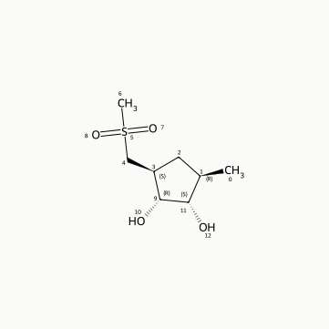 C[C@@H]1C[C@H](CS(C)(=O)=O)[C@@H](O)[C@H]1O